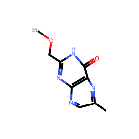 CCOCc1nc2ncc(C)nc2c(=O)[nH]1